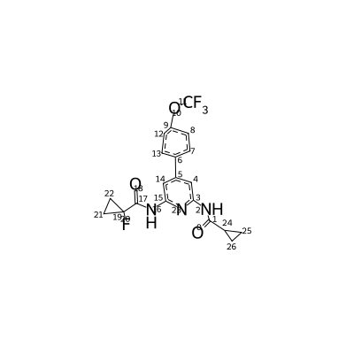 O=C(Nc1cc(-c2ccc(OC(F)(F)F)cc2)cc(NC(=O)C2(F)CC2)n1)C1CC1